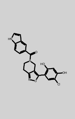 O=C(c1ccc2[nH]ccc2c1)N1CCc2noc(-c3cc(Cl)c(O)cc3O)c2C1